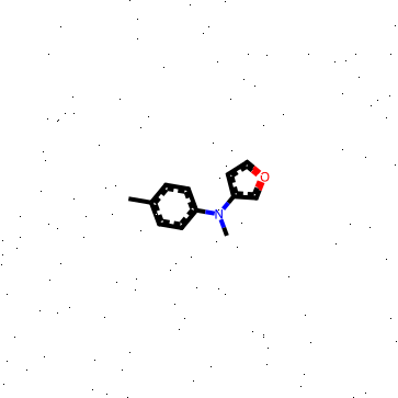 Cc1ccc(N(C)c2ccoc2)cc1